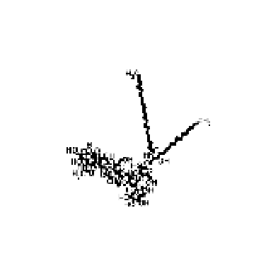 CCCCCCCCCCCCC/C=C/[C@@H](O)[C@H](CO[C@@H]1OC(CO)[C@@H](O[C@@H]2OC(CO[C@@H]3OC(CO)[C@@H](O[C@@H]4OC(CO)[C@H](O)[C@H](O[C@]5(C(=O)O)CC(O)[C@@H](NC(C)=O)C([C@H](O)[C@H](O)CO)O5)C4O)[C@H](O)C3NC(C)=O)[C@H](O)[C@H](O[C@H]3OC(CO)[C@H](O)[C@H](O)C3O)C2O)[C@H](O)C1O)NC(=O)CCCCCCCCCCCCCCCCCCCCC